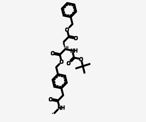 [CH2]NC(=O)Cc1ccc(COC(=O)[C@H](CC(=O)OCc2ccccc2)NC(=O)OC(C)(C)C)cc1